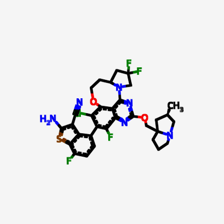 C[C@H]1CN2CCCC2(COc2nc3c4c(c(Cl)c(-c5ccc(F)c6sc(N)c(C#N)c56)c(F)c4n2)OCCC2CC(F)(F)CN32)C1